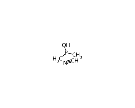 C#N.CP(C)O